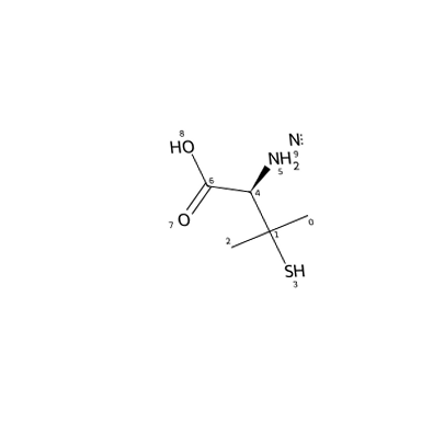 CC(C)(S)[C@H](N)C(=O)O.[N]